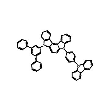 C1=Cc2c(n(-c3cc(-c4ccccc4)cc(-c4ccccc4)c3)c3ccc4c(c5ccccc5n4-c4ccc(-n5c6ccccc6c6ccccc65)cc4)c23)CC1